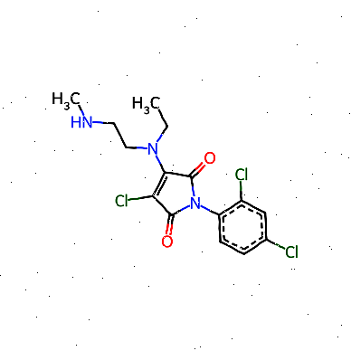 CCN(CCNC)C1=C(Cl)C(=O)N(c2ccc(Cl)cc2Cl)C1=O